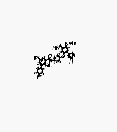 CNc1cc(-c2cn[nH]c2)c(Oc2cnc(NC(=O)c3nn(C(C)C)cc(-c4ccc(F)cc4)c3=O)nc2)cc1C=N